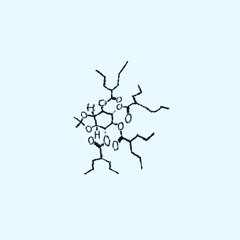 CCCC(CCC)C(=O)O[C@@H]1[C@@H](OC(=O)C(CCC)CCC)[C@H](OC(=O)C(CCC)CCC)[C@@H]2OC(C)(C)O[C@@H]2[C@H]1OC(=O)C(CCC)CCC